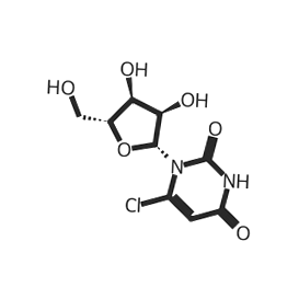 O=c1cc(Cl)n([C@@H]2O[C@H](CO)[C@@H](O)[C@H]2O)c(=O)[nH]1